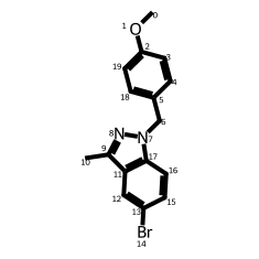 COc1ccc(Cn2nc(C)c3cc(Br)ccc32)cc1